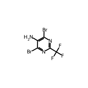 Nc1c(Br)nc(C(F)(F)F)nc1Br